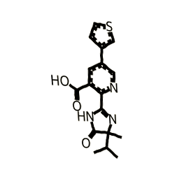 CC(C)C1(C)N=C(c2ncc(-c3ccsc3)cc2C(=O)O)NC1=O